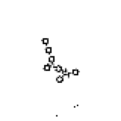 c1ccc(-c2ccc(-c3ccc4c(c3)c3ccccc3n4-c3ccc(-n4nc(-c5ccccc5)nc4-c4ccccc4)cc3)cc2)cc1